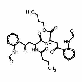 CCCCOC(=O)C(CC(=O)c1ccccc1NC=O)NC(=O)C(CC(=O)c1ccccc1NC=O)NC(=O)CCC